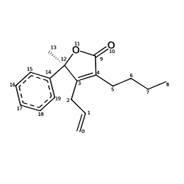 C=CCC1=C(CCCC)C(=O)O[C@]1(C)c1ccccc1